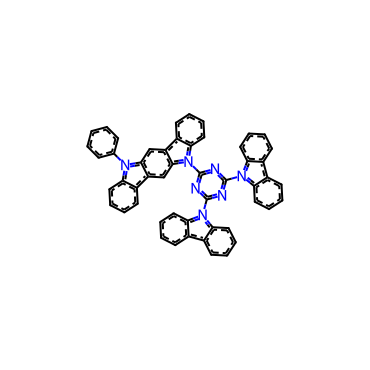 c1ccc(-n2c3ccccc3c3cc4c(cc32)c2ccccc2n4-c2nc(-n3c4ccccc4c4ccccc43)nc(-n3c4ccccc4c4ccccc43)n2)cc1